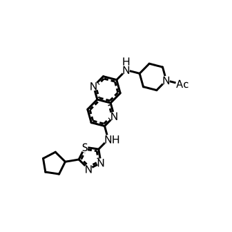 CC(=O)N1CCC(Nc2cnc3ccc(Nc4nnc(C5CCCC5)s4)nc3c2)CC1